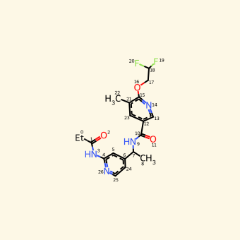 CCC(=O)Nc1cc(C(C)NC(=O)c2cnc(OCC(F)F)c(C)c2)ccn1